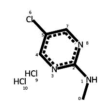 CNc1ncc(Cl)cn1.Cl.Cl